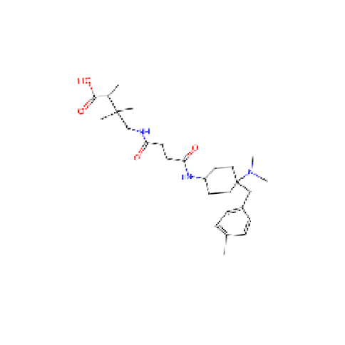 Cc1ccc(CC2(N(C)C)CCC(NC(=O)CCC(=O)NCC(C)(C)C(C)C(=O)O)CC2)cc1